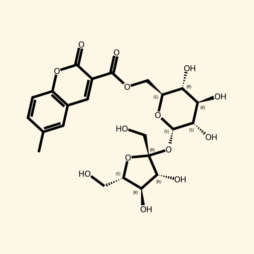 Cc1ccc2oc(=O)c(C(=O)OC[C@@H]3O[C@@H](O[C@@]4(CO)O[C@@H](CO)[C@H](O)[C@H]4O)[C@@H](O)[C@H](O)[C@H]3O)cc2c1